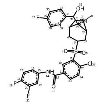 C[C@H]1CC2CC(S(=O)(=O)c3cc(C(=O)Nc4ccc(F)c(F)c4)ccc3Cl)CC1[C@@]2(O)C(O)c1ccc(F)cn1